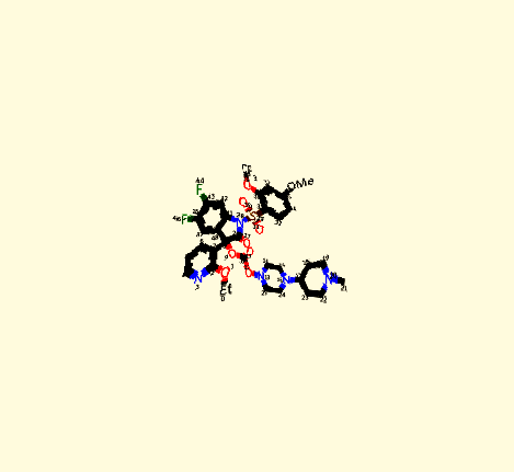 CCOc1ncccc1C1(OC(=O)ON2CCN(C3CCN(C)CC3)CC2)C(=O)N(S(=O)(=O)c2ccc(OC)cc2OC(F)(F)F)c2cc(F)c(F)cc21